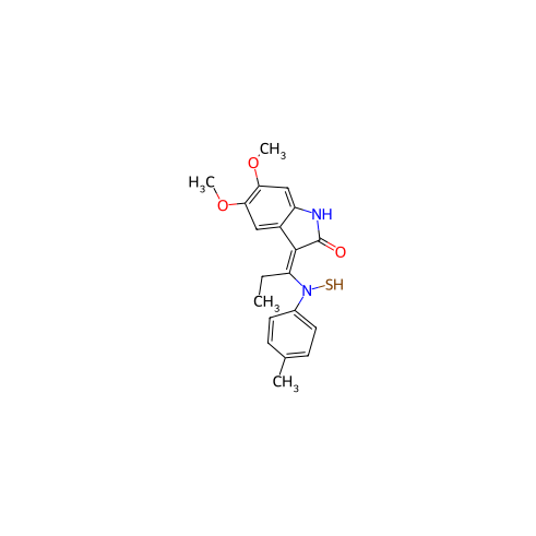 CC/C(=C1/C(=O)Nc2cc(OC)c(OC)cc21)N(S)c1ccc(C)cc1